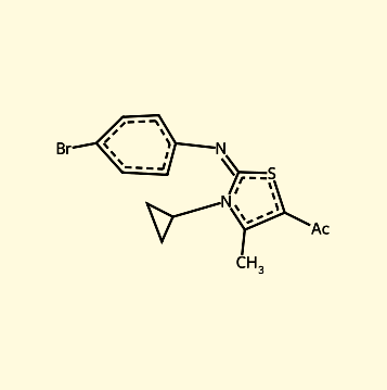 CC(=O)c1sc(=Nc2ccc(Br)cc2)n(C2CC2)c1C